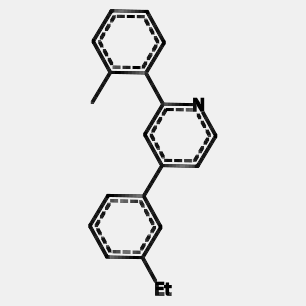 CCc1cccc(-c2ccnc(-c3ccccc3C)c2)c1